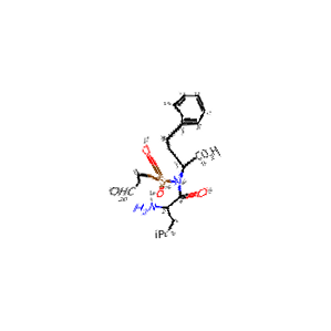 CC(C)CC(N)C(=O)N(C(Cc1ccccc1)C(=O)O)S(=O)(=O)CC=O